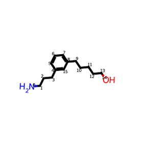 NCCCc1cccc(CCCCCO)c1